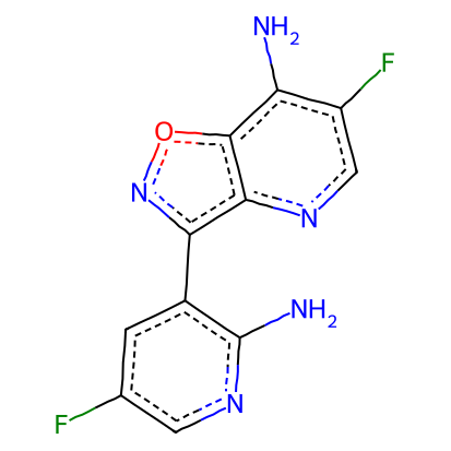 Nc1ncc(F)cc1-c1noc2c(N)c(F)cnc12